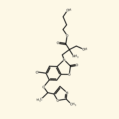 Cc1ncc(C(C)Oc2cc3oc(=O)n(CC(N)(CO)C(=O)OCCCO)c3cc2Cl)o1